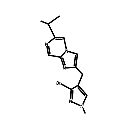 CC(C)c1cn2cc(Cc3cn(C)nc3Br)nc2cn1